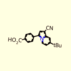 CC(C)(C)c1ccn2c(-c3ccc(C(=O)O)cc3)cc(C#N)c2c1